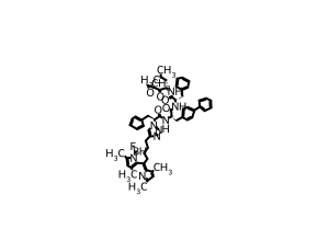 CC1=CC(C)=N/C1=C(/CCCCc1cn([C@@H](Cc2ccccc2)C(=O)N[C@@H](Cc2ccc(-c3ccccc3)cc2)C(=O)N[C@@H](Cc2ccccc2)C(=O)N[C@@H](CC(C)C)C(=O)[C@@]2(C)CO2)nn1)c1c(C)cc(C)n1BF